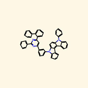 c1ccc(-c2nc(-c3cccc(-n4c5ccccc5c5c6c7ccccc7n(-c7ccccc7)c6ccc54)c3)cc(-c3ccccc3-c3ccccc3)n2)cc1